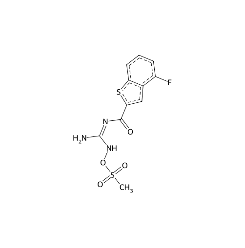 CS(=O)(=O)ONC(N)=NC(=O)c1cc2c(F)cccc2s1